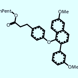 CCCCCOC(=O)CCc1ccc(Oc2c(-c3cccc(OC)c3)ccc3cc(OC)ccc23)cc1